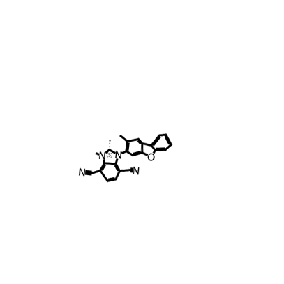 Cc1cc2c(cc1N1c3c(C#N)ccc(C#N)c3N(C)[C@@H]1C)oc1ccccc12